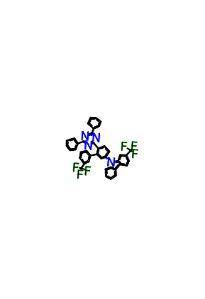 FC(F)(F)c1cccc(-c2cc(-n3c4ccccc4c4ccc(C(F)(F)F)cc43)ccc2-c2nc(-c3ccccc3)nc(-c3ccccc3)n2)c1